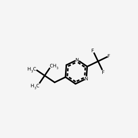 CC(C)(C)Cc1cnc(C(F)(F)F)nc1